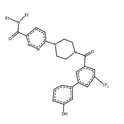 CCN(CC)C(=O)c1ccc(N2CCN(C(=O)c3cc(-c4cccc(O)c4)cc(C(F)(F)F)c3)CC2)nn1